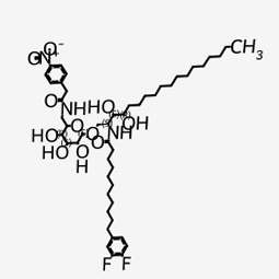 CCCCCCCCCCCCCC[C@@H](O)[C@@H](O)[C@H](CO[C@H]1OC(CNC(=O)Cc2ccc([N+](=O)[O-])cc2)[C@H](O)[C@H](O)C1O)NC(=O)CCCCCCCCCCc1ccc(F)c(F)c1